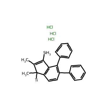 CC1=C([SiH3])c2c(ccc(-c3ccccc3)c2-c2ccccc2)[C]1(C)[Ti].Cl.Cl.Cl